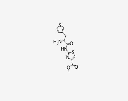 COC(=O)c1csc(NC(=O)C(N)Cc2ccsc2)n1